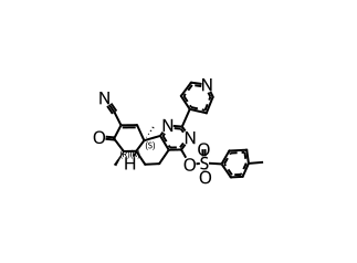 Cc1ccc(S(=O)(=O)Oc2nc(-c3ccncc3)nc3c2CC[C@@H]2[C@@H](C)C(=O)C(C#N)=C[C@@]32C)cc1